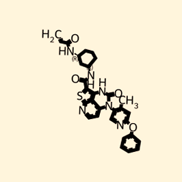 C=CC(=O)N[C@@H]1CCC[C@@H](NC(=O)c2sc3nccc4c3c2NC(=O)N4c2cnc(Oc3ccccc3)cc2C)C1